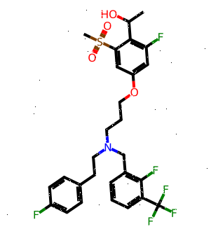 CC(O)c1c(F)cc(OCCCN(CCc2ccc(F)cc2)Cc2cccc(C(F)(F)F)c2F)cc1S(C)(=O)=O